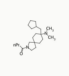 CCCC(=O)N1CCC2(CCC(CC3CCCC3)(N(C)C)CC2)C1